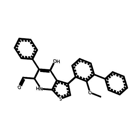 COc1c(-c2ccccc2)cccc1-c1csc2c1C(O)=C(c1ccccc1)C(C=O)N2